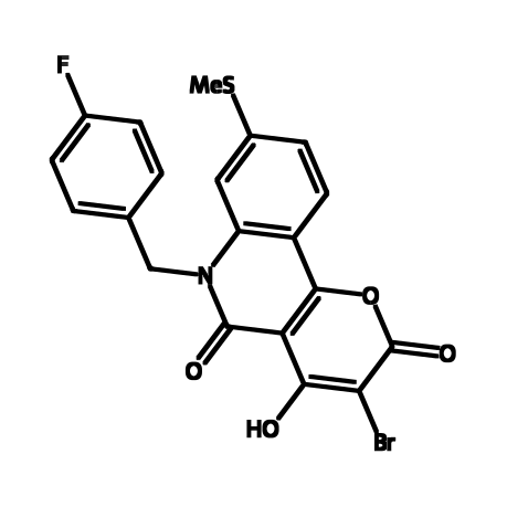 CSc1ccc2c3oc(=O)c(Br)c(O)c3c(=O)n(Cc3ccc(F)cc3)c2c1